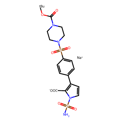 CC(C)(C)OC(=O)N1CCN(S(=O)(=O)c2ccc(-c3ccn(S(N)(=O)=O)c3C(=O)[O-])cc2)CC1.[Na+]